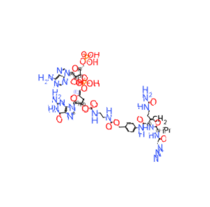 C=C(CCNC(N)=O)[C@H](NC(=O)[C@@H](NC(=O)CN=[N+]=[N-])C(C)C)C(=O)Nc1ccc(COC(=O)NCCNC(=O)O[C@@H]2C/C(=C\OP(=O)(O)O[C@H]3[C@@H](O)[C@H](n4cnc5c(N)ncnc54)O[C@@H]3COP(=O)(O)O)O[C@H]2n2cnc3c(=O)[nH]c(N)nc32)cc1